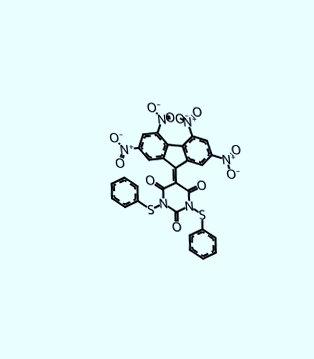 O=C1C(=C2c3cc([N+](=O)[O-])cc([N+](=O)[O-])c3-c3c2cc([N+](=O)[O-])cc3[N+](=O)[O-])C(=O)N(Sc2ccccc2)C(=O)N1Sc1ccccc1